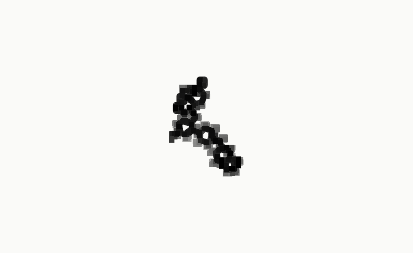 O=C1CCC(N2Cc3c(cc(F)cc3C3CCN(Cc4ccn5ccnc5n4)CC3)C2=O)C(=O)N1